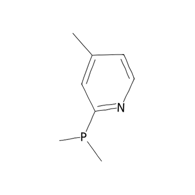 Cc1ccnc(P(C)C)c1